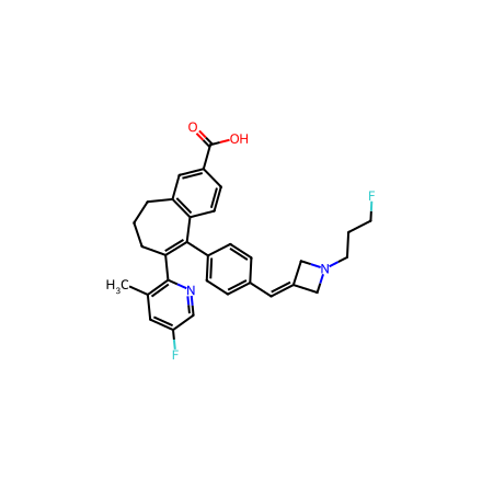 Cc1cc(F)cnc1C1=C(c2ccc(C=C3CN(CCCF)C3)cc2)c2ccc(C(=O)O)cc2CCC1